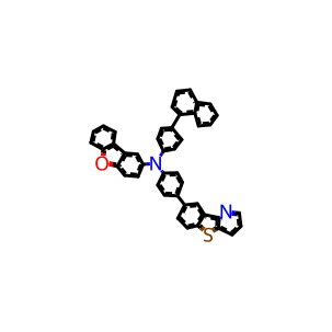 c1ccc2c(-c3ccc(N(c4ccc(-c5ccc6sc7cccnc7c6c5)cc4)c4ccc5oc6ccccc6c5c4)cc3)cccc2c1